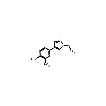 Nc1ccc(-c2cnn(CC(F)(F)F)c2)cc1[N+](=O)[O-]